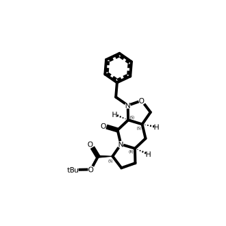 CC(C)(C)OC(=O)[C@@H]1CC[C@@H]2C[C@@H]3CON(Cc4ccccc4)[C@@H]3C(=O)N21